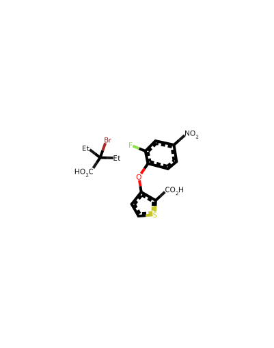 CCC(Br)(CC)C(=O)O.O=C(O)c1sccc1Oc1ccc([N+](=O)[O-])cc1F